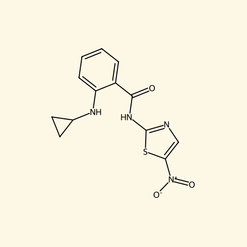 O=C(Nc1ncc([N+](=O)[O-])s1)c1ccccc1NC1CC1